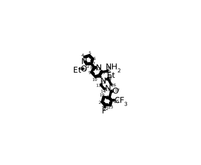 CCOc1ncccc1-c1ccc(N2CCN(C(=O)c3ccc(F)cc3C(F)(F)F)C[C@H]2CC)c(CN)n1